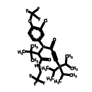 CC(C)[Si](C#CC(=O)N(c1ccc(OC(F)(F)F)c(Cl)c1)C(C(=O)NCC(F)(F)F)C(C)(C)C)(C(C)C)C(C)C